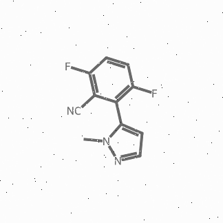 Cn1nccc1-c1c(F)ccc(F)c1C#N